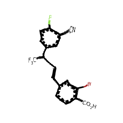 N#Cc1cc(C(/C=C/c2ccc(C(=O)O)c(Br)c2)C(F)(F)F)ccc1F